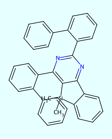 C[Si]1(C)c2ccccc2-c2nc(-c3ccccc3-c3ccccc3)nc(-c3ccccc3-c3ccccc3)c21